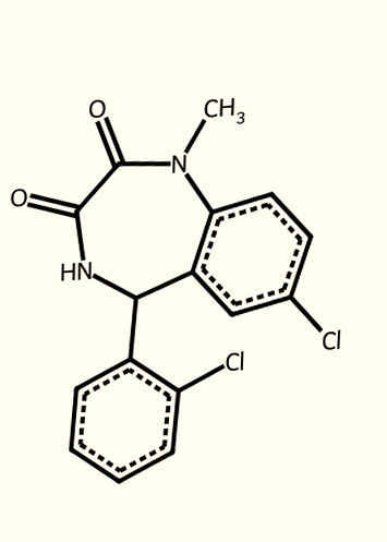 CN1C(=O)C(=O)NC(c2ccccc2Cl)c2cc(Cl)ccc21